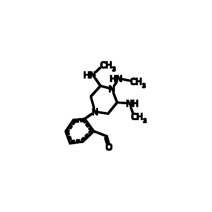 CNC1CN(c2ccccc2C=O)CC(NC)N1NC